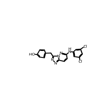 Oc1ccc(Cc2nnc3ccc(Nc4cc(Cl)cc(Cl)c4)nn23)cc1